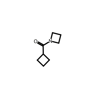 O=C(C1CCC1)N1CCC1